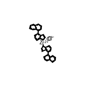 C1=C[CH]([Zr+2][CH]2C=Cc3c(-c4cccc5ccccc45)cccc32)c2cccc(-c3cccc4ccccc34)c21.[Cl-].[Cl-]